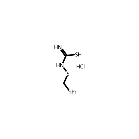 CCCCSNC(=N)S.Cl